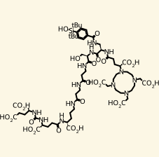 CC(C)(C)[Si](O)(c1ccc(C(=O)NC[C@@H](NC(=O)CC[C@@H](C(=O)O)N2CCN(CC(=O)O)CCN(CC(=O)O)CCN(CC(=O)O)CC2)C(=O)N[C@H](CO)C(=O)NCCC(=O)NCCC(=O)NCCC[C@@H](NC(=O)CC[C@H](NC(=O)N[C@@H](CCC(=O)O)C(=O)O)C(=O)O)C(=O)O)cc1)C(C)(C)C